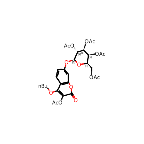 CCCCOc1c(OC(C)=O)c(=O)oc2cc(O[C@@H]3O[C@H](COC(C)=O)[C@H](OC(C)=O)[C@H](OC(C)=O)[C@H]3OC(C)=O)ccc12